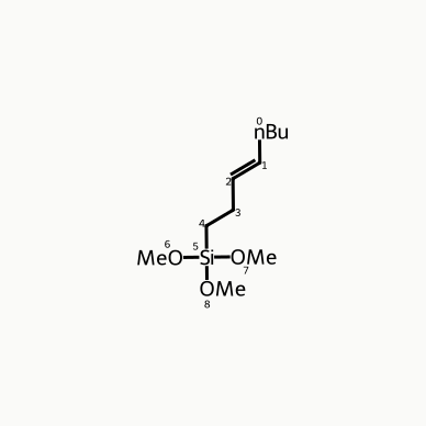 CCCCC=CCC[Si](OC)(OC)OC